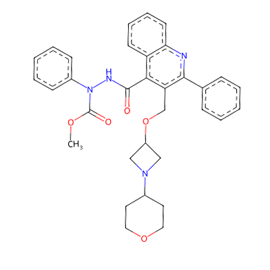 COC(=O)N(NC(=O)c1c(COC2CN(C3CCOCC3)C2)c(-c2ccccc2)nc2ccccc12)c1ccccc1